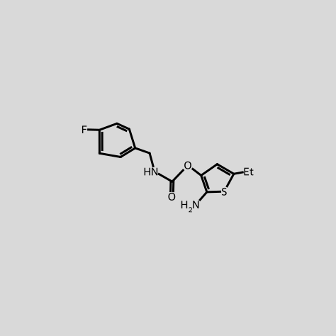 CCc1cc(OC(=O)NCc2ccc(F)cc2)c(N)s1